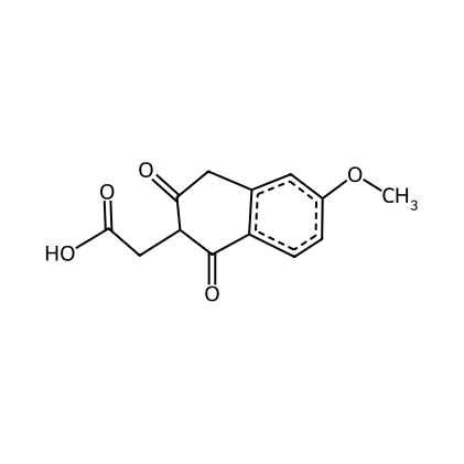 COc1ccc2c(c1)CC(=O)C(CC(=O)O)C2=O